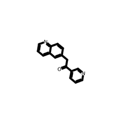 O=C(Cc1ccc2ncccc2c1)c1cccnc1